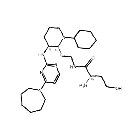 N[C@@H](CCO)C(=O)NCC[C@@H]1[C@@H](Nc2nccc(N3CCCCCC3)n2)CCCN1C1CCCCC1